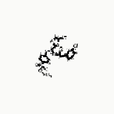 CCc1csc([C@H](Cc2ccc(S(=O)(=O)ON)cc2)NC(=O)Cc2cccc(Cl)c2)n1